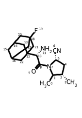 CC1[C@@H](C)C[C@@H](C#N)N1C(=O)[C@@H](N)C12CC3CC(CC(F)(C3)C1)C2